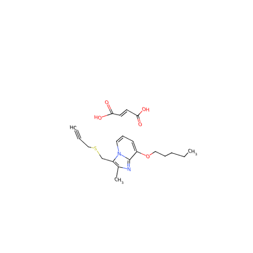 C#CCSCc1c(C)nc2c(OCCCCC)cccn12.O=C(O)C=CC(=O)O